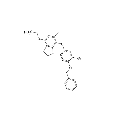 Cc1cc(OCC(=O)O)c2c(c1Oc1ccc(OCc3ccccc3)c(C(C)C)c1)CCC2